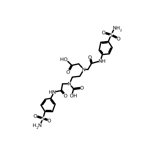 NS(=O)(=O)c1ccc(NC(=O)CN(CCN(CC(=O)Nc2ccc(S(N)(=O)=O)cc2)C(=O)O)CC(=O)O)cc1